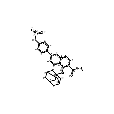 NC(=O)c1nnc2cc(-c3ccc(C[SH](=O)=O)cc3)ccc2c1NC12CC3CC(CC(C3)C1)C2